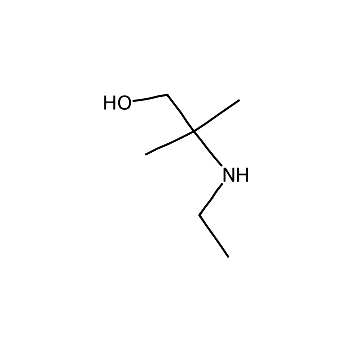 CCNC(C)(C)CO